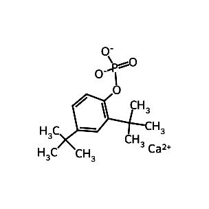 CC(C)(C)c1ccc(OP(=O)([O-])[O-])c(C(C)(C)C)c1.[Ca+2]